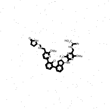 COc1nc(-c2cccc(-c3cccc4c3CC[C@@H]4Nc3nc(OC)c(CN[C@H](C(=O)O)C(C)C)nc3C(F)(F)F)c2Cl)ccc1CNC[C@@H]1CCC(=O)N1